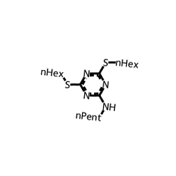 CCCCCCSc1nc(NCCCCC)nc(SCCCCCC)n1